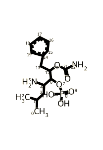 CC(C)CC(N)C(OP(=O)(O)O)C(Cc1ccccc1)OC(N)=O